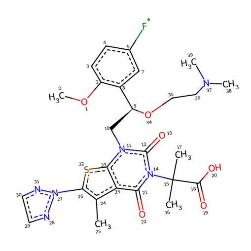 COc1ccc(F)cc1[C@H](Cn1c(=O)n(C(C)(C)C(=O)O)c(=O)c2c(C)c(-n3nccn3)sc21)OCCN(C)C